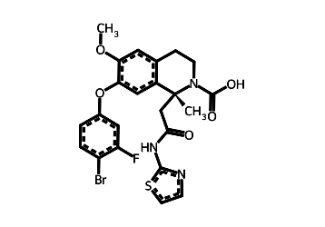 COc1cc2c(cc1Oc1ccc(Br)c(F)c1)[C@@](C)(CC(=O)Nc1nccs1)N(C(=O)O)CC2